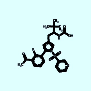 CC(=O)c1cccc(-c2cc(CC(NC(=O)O)C(C)(C)C)cn2S(=O)(=O)c2cccnc2)c1F